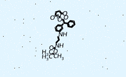 CC(C)(C)OC(=O)NCCCNc1cccc(C(C(=O)ON2C(=O)CCC2=O)c2ccccc2)c1